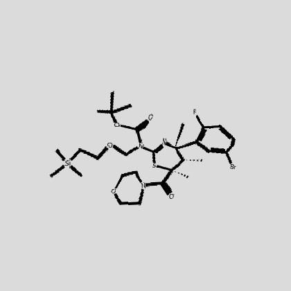 C[C@@H]1[C@@](C)(C(=O)N2CCOCC2)SC(N(COCC[Si](C)(C)C)C(=O)OC(C)(C)C)=N[C@]1(C)c1cc(Br)ccc1F